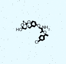 C=C(O/C(C)=C(\N)COc1cccc(CN(CC(=O)O)C(=O)OC)c1)c1ccc(Cl)cc1